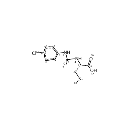 CSC[C@H](NC(=O)Nc1ccc(Cl)cc1)C(=O)O